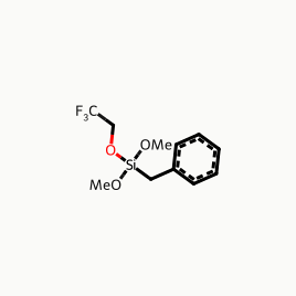 CO[Si](Cc1ccccc1)(OC)OCC(F)(F)F